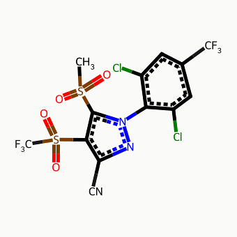 CS(=O)(=O)c1c(S(=O)(=O)C(F)(F)F)c(C#N)nn1-c1c(Cl)cc(C(F)(F)F)cc1Cl